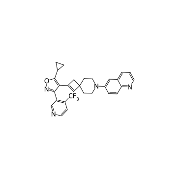 FC(F)(F)c1ccncc1-c1noc(C2CC2)c1C1=CC2(CCN(c3ccc4ncccc4c3)CC2)C1